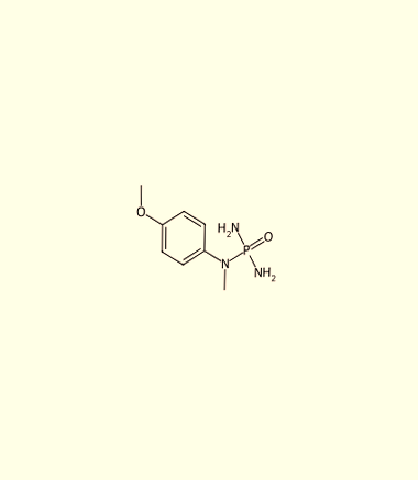 COc1ccc(N(C)P(N)(N)=O)cc1